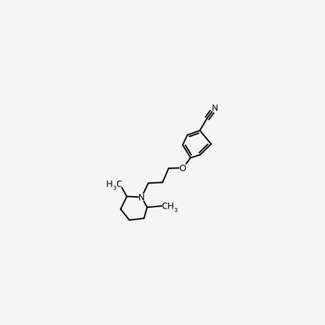 CC1CCCC(C)N1CCCOc1ccc(C#N)cc1